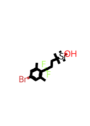 Cc1cc(Br)cc(C)c1C(F)(F)CCC(C)(C)[Si](C)(C)O